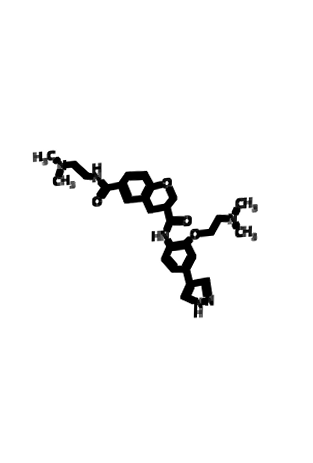 CN(C)CCNC(=O)c1ccc2c(c1)CC(C(=O)Nc1ccc(-c3cn[nH]c3)cc1OCCN(C)C)CO2